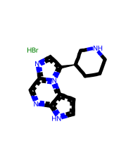 Br.c1cc2c(ncc3ncc([C@@H]4CCCNC4)n32)[nH]1